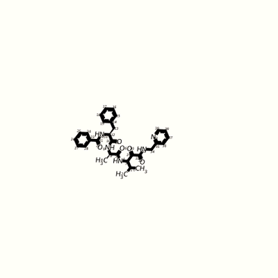 CC(C)C(NC(=O)[C@H](C)NC(=O)[C@H](Cc1ccccc1)NC(=O)c1ccccc1)C(=O)C(=O)NCc1ccccn1